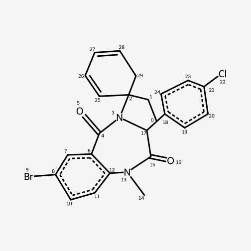 CCC1(N2C(=O)c3cc(Br)ccc3N(C)C(=O)C2c2ccc(Cl)cc2)C=CC=CC1